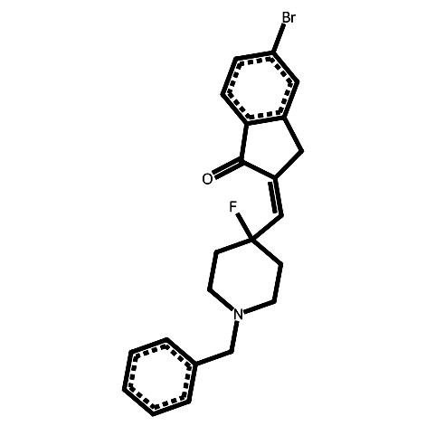 O=C1C(=CC2(F)CCN(Cc3ccccc3)CC2)Cc2cc(Br)ccc21